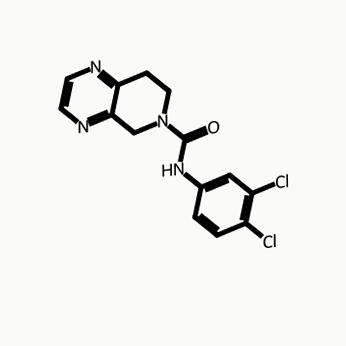 O=C(Nc1ccc(Cl)c(Cl)c1)N1CCc2nccnc2C1